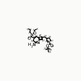 CCCN(OCC)C(=O)C1=Cc2sc(CC3CCN(C(=O)OC(C)(C)C)C3)cc2N=C(N)C1